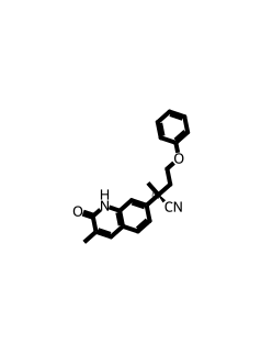 Cc1cc2ccc([C@@](C)(C#N)CCOc3ccccc3)cc2[nH]c1=O